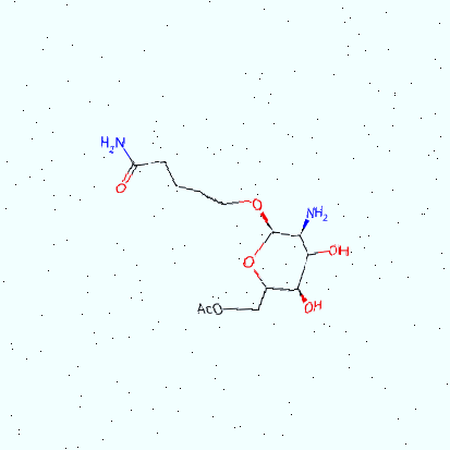 CC(=O)OCC1O[C@@H](OCCCCC(N)=O)[C@@H](N)C(O)[C@H]1O